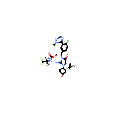 CC(C)(F)C[C@H]1C(=O)N([C@H](COC(=O)NC(C)(C)C(F)F)c2ccc(Cl)c(-c3ncnn3C(F)F)c2)C(=N)N1c1ccc(Br)cc1